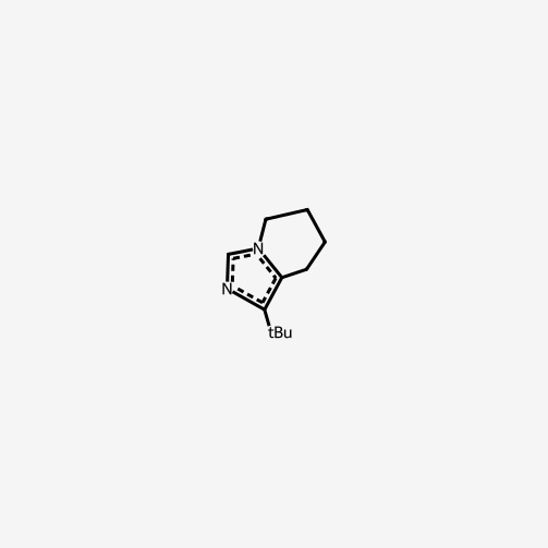 CC(C)(C)c1ncn2c1CCCC2